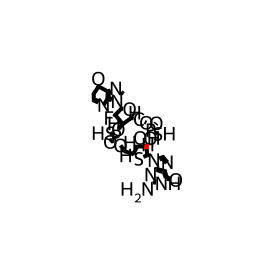 Nc1nc2c(ncn2[C@@H]2S[C@@H]3COP(=O)(S)O[C@H]4[C@H](F)[C@H](n5cnc6c5N=CCC6=O)O[C@@H]4COP(=O)(S)O[C@@H]2[C@@H]3O)c(=O)[nH]1